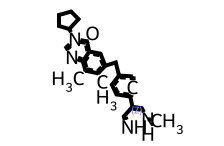 CN/C=C(\C=N)c1ccc(Cc2cc3c(=O)n(C4CCCC4)cnc3c(C)c2C)cc1